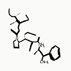 C=C(N[C@H](C)C(O)c1ccccc1)C(C)[C@@H](CC)C1CCCN1C(=C)CC(CC)[C@@H](C)[C@@H](C)CC